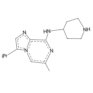 Cc1cn2c(C(C)C)cnc2c(NC2CCNCC2)n1